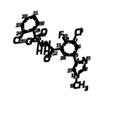 Cn1cnc(-c2cc(Cl)c(F)c(C(=O)NNS(=O)(=O)c3ccccc3Cl)c2)c1